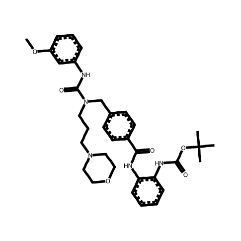 COc1cccc(NC(=O)N(CCCN2CCOCC2)Cc2ccc(C(=O)Nc3ccccc3NC(=O)OC(C)(C)C)cc2)c1